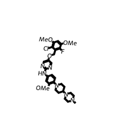 COc1cc(Nc2ncc(OCc3c(F)c(OC)cc(OC)c3Cl)cn2)ccc1N1CCC(N2CCN(C)CC2)CC1